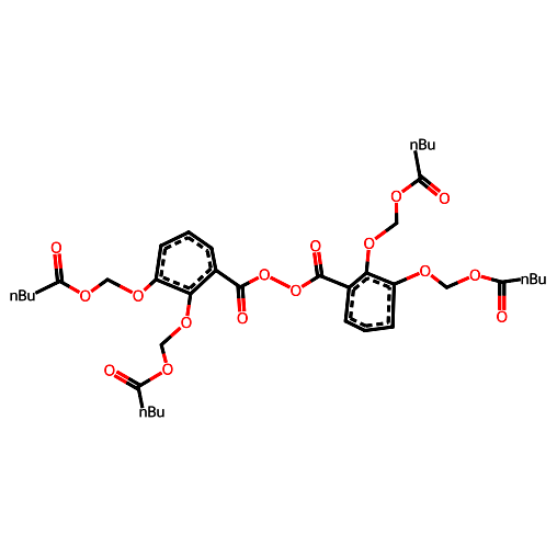 CCCCC(=O)OCOc1cccc(C(=O)OOC(=O)c2cccc(OCOC(=O)CCCC)c2OCOC(=O)CCCC)c1OCOC(=O)CCCC